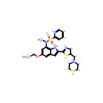 CCOC(=O)COc1cc(N(C)S(=O)(=O)c2ccccn2)c2[nH]c(C3=NCC(CN4CCSCC4)S3)cc2c1